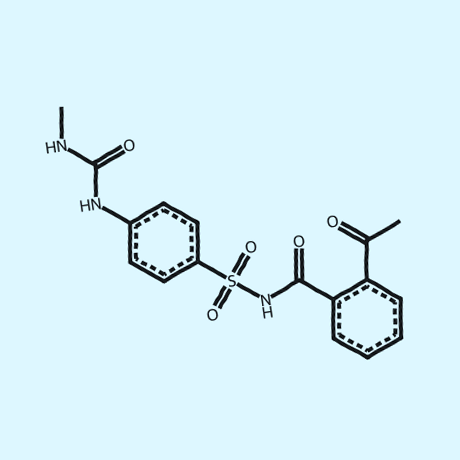 CNC(=O)Nc1ccc(S(=O)(=O)NC(=O)c2ccccc2C(C)=O)cc1